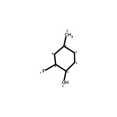 CC1CCC(O)C(F)C1